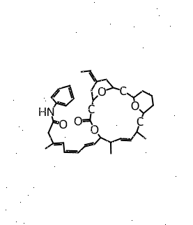 C/C=C1\CC2CC(=O)OC(/C=C/C=C\C=C(/C)CC(=O)Nc3ccccc3)C(C)/C=C/C(C)CC3CCCC(CC(C1)O2)O3